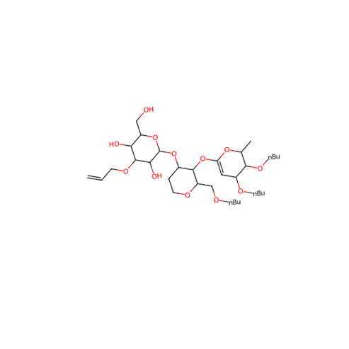 C=CCOC1C(O)C(CO)OC(OC2CCOC(COCCCC)C2OC2=CC(OCCCC)C(OCCCC)C(C)O2)C1O